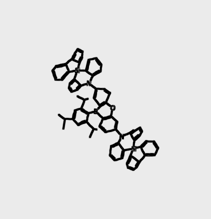 CC(C)c1cc(C(C)C)c(B2c3ccc(N4c5ccccc5[Si]5(c6ccccc6-c6ccccc65)c5ccccc54)cc3Oc3ccc(N4c5ccccc5[Si]5(c6ccccc6-c6ccccc65)c5ccccc54)cc32)c(C(C)C)c1